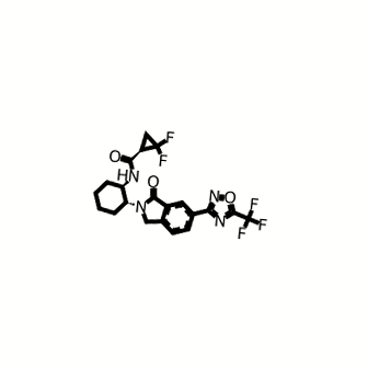 O=C(N[C@@H]1CCCC[C@H]1N1Cc2ccc(-c3noc(C(F)(F)F)n3)cc2C1=O)[C@H]1CC1(F)F